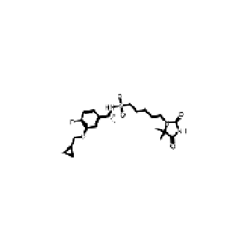 C[C@@H](NS(=O)(=O)CCCCCN1C(=O)NC(=O)C1(C)C)c1ccc(F)c(OCC2CC2)c1